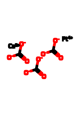 O=C([O-])[O-].O=C([O-])[O-].O=C([O-])[O-].[Ca+2].[Pt+4]